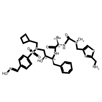 CC[C@H](C)[C@H](NC(=O)N(C)Cc1csc(CN)n1)C(=O)N[C@@H](Cc1ccccc1)[C@@H](O)CN(CC1CCC1)S(=O)(=O)c1ccc(C=NO)cc1